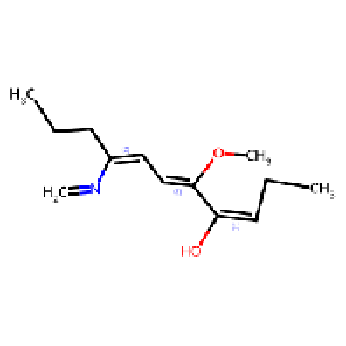 C=N\C(=C/C=C(OC)/C(O)=C\CC)CCC